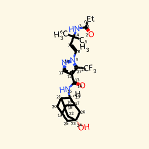 CCC(=O)NC(C)(C)/C=C/n1ncc(C(=O)N[C@H]2C3CC4CC2C[C@](O)(C4)C3)c1C(F)(F)F